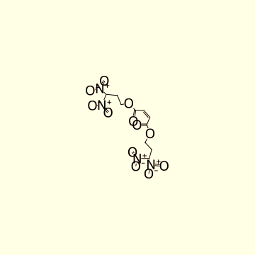 O=C(/C=C\C(=O)OCCC([N+](=O)[O-])[N+](=O)[O-])OCCC([N+](=O)[O-])[N+](=O)[O-]